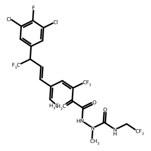 C=C(C(=O)NN(C)C(=O)NCC(F)(F)F)\C(=C/C(=C\C)/C=C/C(c1cc(Cl)c(F)c(Cl)c1)C(F)(F)F)C(F)(F)F